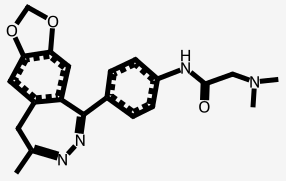 CC1=NN=C(c2ccc(NC(=O)CN(C)C)cc2)c2cc3c(cc2C1)OCO3